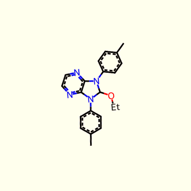 CCOC1N(c2ccc(C)cc2)c2nccnc2N1c1ccc(C)cc1